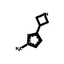 Cn1ccc(C2CNC2)n1